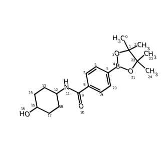 CC1(C)OB(c2ccc(C(=O)NC3CCC(O)CC3)cc2)OC1(C)C